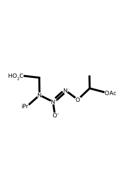 CC(=O)OC(C)ON=[N+]([O-])N(CC(=O)O)C(C)C